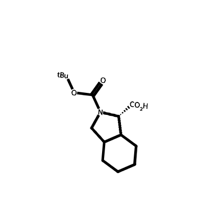 CC(C)(C)OC(=O)N1CC2CCCCC2[C@H]1C(=O)O